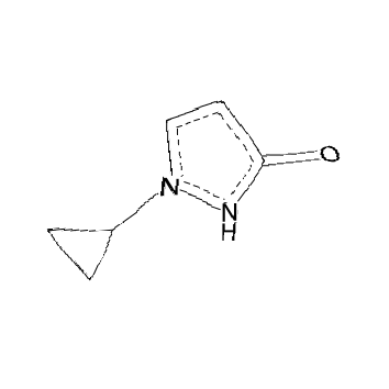 O=c1ccn(C2CC2)[nH]1